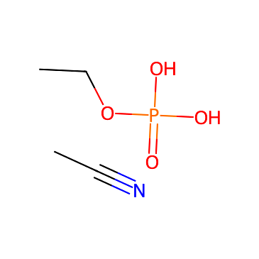 CC#N.CCOP(=O)(O)O